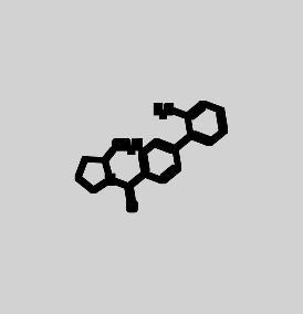 O=C(O)C1CCCN1C(=O)c1ccc(-c2ccccc2C(F)(F)F)cc1